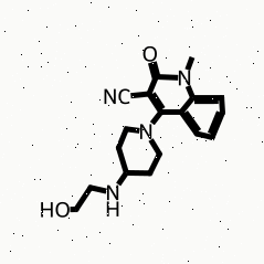 Cn1c(=O)c(C#N)c(N2CCC(NCCO)CC2)c2ccccc21